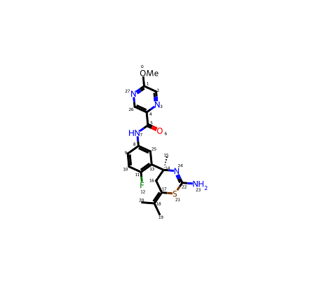 COc1cnc(C(=O)Nc2ccc(F)c([C@]3(C)CC(=C(C)C)SC(N)=N3)c2)cn1